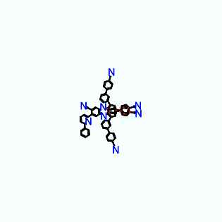 N#Cc1ccc(-c2ccc3c(c2)c2cc(-c4ccc(C#N)cc4)ccc2n3-c2cc(C#N)c(-c3cccc(-c4ccccc4)n3)cc2-n2c3ccc(-c4ccc(C#N)cc4)cc3c3cc(-c4ccc(C#N)cc4)ccc32)cc1